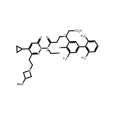 COC1CN(CCc2nn([SH](CC(C)C)C(=O)CC[C@@H](CC(=O)O)c3cc(-c4c(C)cccc4C)cc(C(F)(F)F)c3F)c(=O)cc2C2CC2)C1